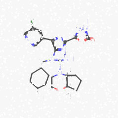 C[C@H]1CC[C@H](CN2c3c(-c4cncc(Cl)c4)nc(-c4n[nH]c(=O)o4)n3N[C@H]2N2CCO[C@@H]3CCC[C@H]32)CC1